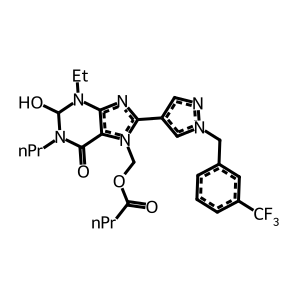 CCCC(=O)OCn1c(-c2cnn(Cc3cccc(C(F)(F)F)c3)c2)nc2c1C(=O)N(CCC)C(O)N2CC